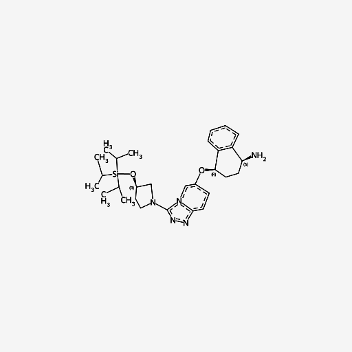 CC(C)[Si](O[C@@H]1CCN(c2nnc3ccc(O[C@@H]4CC[C@H](N)c5ccccc54)cn23)C1)(C(C)C)C(C)C